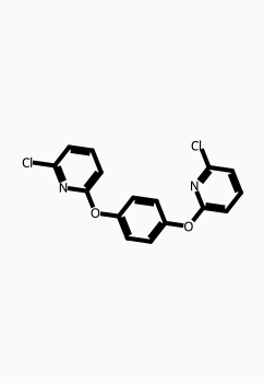 Clc1cccc(Oc2ccc(Oc3cccc(Cl)n3)cc2)n1